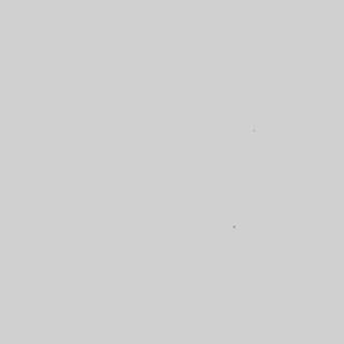 CC1=CC(C)=C(c2ccc3ccccc3[c]2[Ti][O]CC(C)(C)C)C1.Cl.Cl